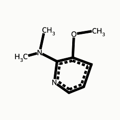 COc1cccnc1N(C)C